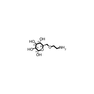 NCCOC[C@H]1O[C@H](O)[C@@H](O)[C@@H](O)[C@@H]1O